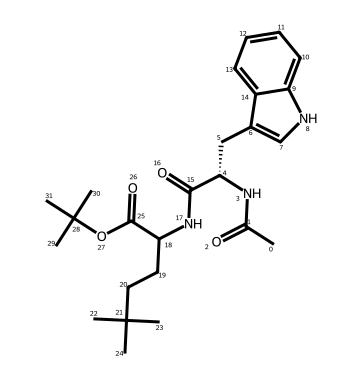 CC(=O)N[C@@H](Cc1c[nH]c2ccccc12)C(=O)NC(CCC(C)(C)C)C(=O)OC(C)(C)C